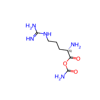 N=C(N)NCCC[C@H](N)C(=O)OC(N)=O